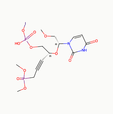 COC[C@@H](O[C@H](C#CCP(=O)(OC)OC)COP(=O)(O)OI)n1ccc(=O)[nH]c1=O